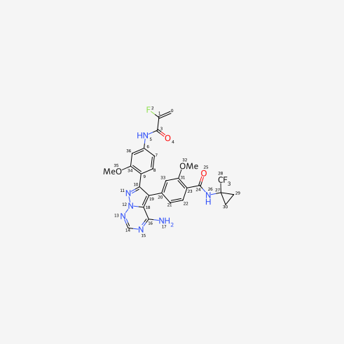 C=C(F)C(=O)Nc1ccc(-c2nn3ncnc(N)c3c2-c2ccc(C(=O)NC3(C(F)(F)F)CC3)c(OC)c2)c(OC)c1